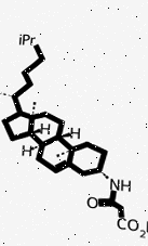 CC(C)CCC[C@@H](C)C1CC[C@H]2[C@@H]3CC=C4C[C@@H](NC(=O)CC(=O)O)CC[C@]4(C)[C@H]3CC[C@]12C